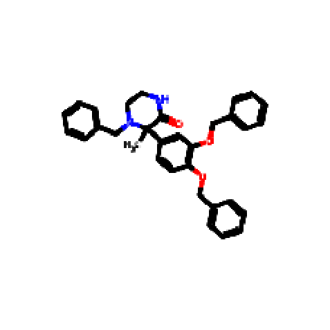 CC1(c2ccc(OCc3ccccc3)c(OCc3ccccc3)c2)C(=O)NCCN1Cc1ccccc1